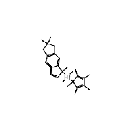 CC1=C(C)[C](C)([Hf]([CH3])([CH3])[C]2(C)C=Cc3cc4c(cc32)CC(C)(C)C4)C(C)=C1C